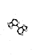 [c]1nc2c(-c3nccc4ncoc34)ccnc2o1